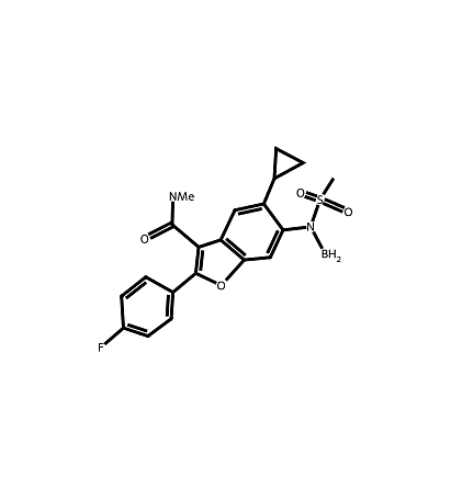 BN(c1cc2oc(-c3ccc(F)cc3)c(C(=O)NC)c2cc1C1CC1)S(C)(=O)=O